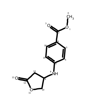 COC(=O)c1ccc(NC2COC(=O)C2)cc1